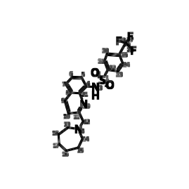 O=S(=O)(Nc1cccc2ccc(CN3CCCCCC3)nc12)c1ccc(C(F)(F)F)cc1